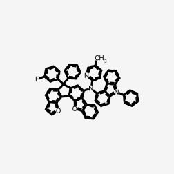 Cc1ccc(N(c2cc3c(c4oc5ccccc5c24)-c2c(ccc4ccoc24)C3(c2ccccc2)c2cccc(F)c2)c2cccc3c2c2ccccc2n3-c2ccccc2)nc1